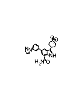 NC(=O)c1cc(-c2cccc(-n3cccn3)c2)cc2c(C3CCS(=O)(=O)CC3)c[nH]c12